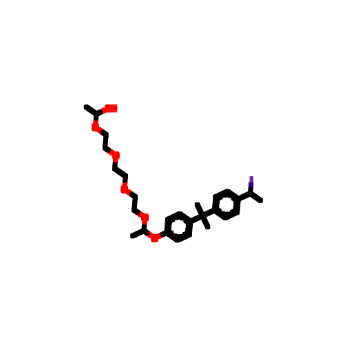 CC(O)OCCOCCOCCOC(C)Oc1ccc(C(C)(C)c2ccc(C(C)I)cc2)cc1